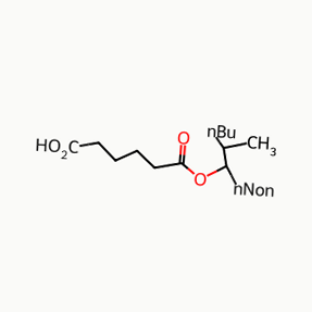 CCCCCCCCCC(OC(=O)CCCCC(=O)O)C(C)CCCC